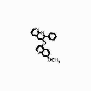 COc1ccc2c(Oc3cc4cccnc4nc3-c3ccccc3)ccnc2c1